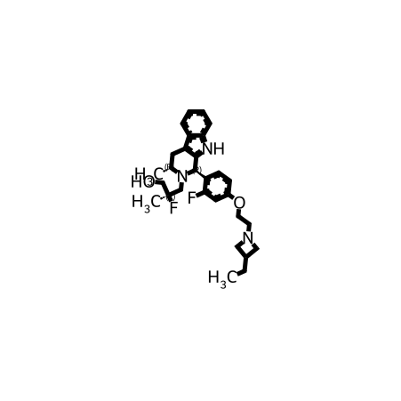 CCC1CN(CCOc2ccc([C@@H]3c4[nH]c5ccccc5c4C[C@@H](C)N3C[C@@](C)(F)CO)c(F)c2)C1